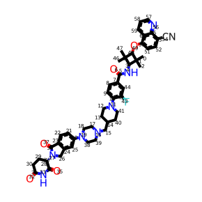 CC1(C)C(NC(=O)c2ccc(N3CCC(CN4CCN(c5ccc6c(c5)CN([C@H]5CCC(=O)NC5=O)C6=O)CC4)CC3)c(F)c2)C(C)(C)C1Oc1ccc(C#N)c2ncccc12